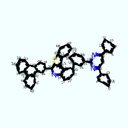 c1ccc(-c2cc(-c3ccccc3)nc(-c3cccc(-c4cccc5nc(-c6ccc7c8ccccc8c8ccccc8c7c6)c6sc7ccccc7c6c45)c3)n2)cc1